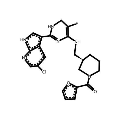 O=C(c1ccco1)N1CCC[C@H](CNC2=C(F)CNC(c3c[nH]c4ncc(Cl)cc34)=N2)C1